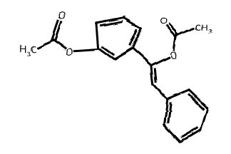 CC(=O)OC(=Cc1ccccc1)c1cccc(OC(C)=O)c1